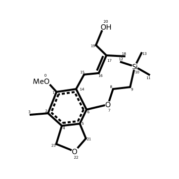 COc1c(C)c2c(c(OCC[Si](C)(C)C)c1CC=C(C)CO)COC2